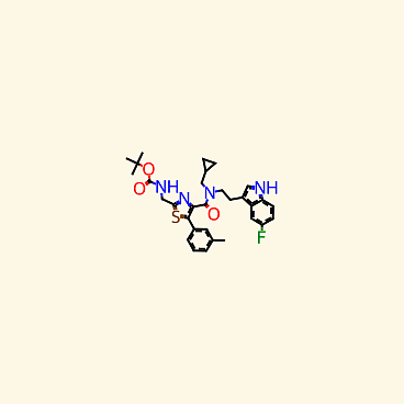 Cc1cccc(-c2sc(CNC(=O)OC(C)(C)C)nc2C(=O)N(CCc2c[nH]c3ccc(F)cc23)CC2CC2)c1